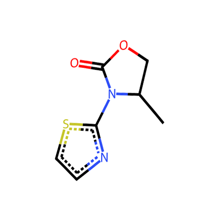 CC1COC(=O)N1c1nccs1